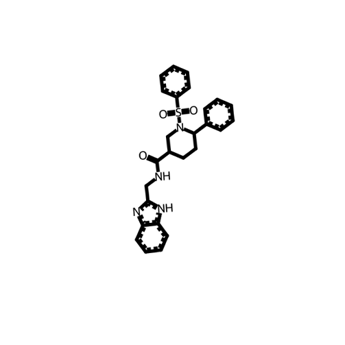 O=C(NCc1nc2ccccc2[nH]1)C1CCC(c2ccccc2)N(S(=O)(=O)c2ccccc2)C1